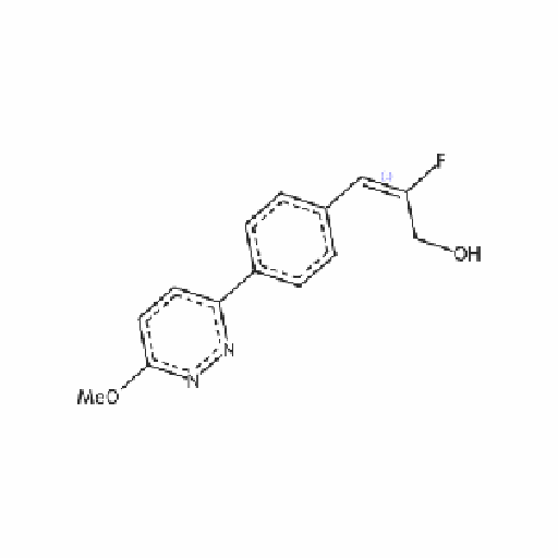 COc1ccc(-c2ccc(/C=C(/F)CO)cc2)nn1